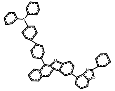 c1ccc(-c2nc3c(-c4ccc5oc6c(-c7ccc(-c8ccc(N(c9ccccc9)c9ccccc9)cc8)cc7)c7ccccc7cc6c5c4)cccc3o2)cc1